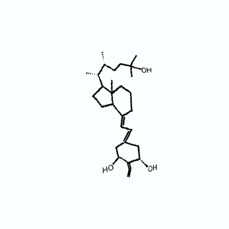 C=C1C(O)C/C(=C\C=C2/CCCC3(C)C2CCC3[C@H](C)[C@H](C)CCC(C)(C)O)C[C@H]1O